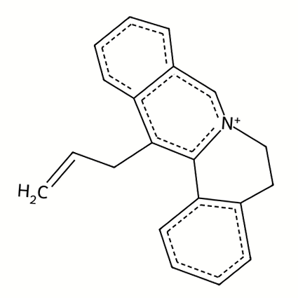 C=CCc1c2[n+](cc3ccccc13)CCc1ccccc1-2